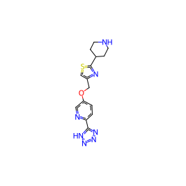 c1cc(-c2nnn[nH]2)ncc1OCc1csc(C2CCNCC2)n1